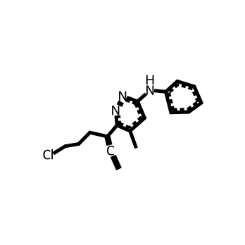 C=C=C(CCCCl)c1nnc(Nc2ccccc2)cc1C